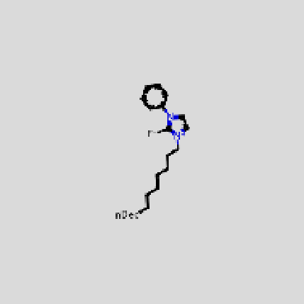 CCCCCCCCCCCCCCCCC[n+]1ccn(-c2ccccc2)c1CC